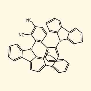 N#Cc1ccc(-c2ccccc2-n2c3ccccc3c3ccccc32)c(-n2c3ccccc3c3ccc4c5ccccc5oc4c32)c1C#N